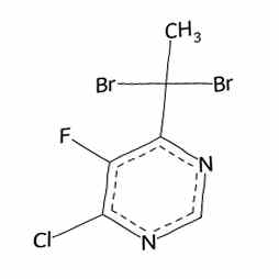 CC(Br)(Br)c1ncnc(Cl)c1F